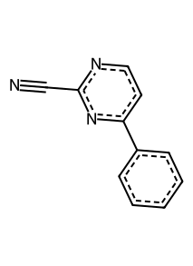 N#Cc1nccc(-c2ccccc2)n1